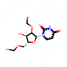 CC(=O)COC[C@H]1O[C@@H](n2ccc(=O)[nH]c2=O)[C@H](OCC(C)=O)[C@@H]1O